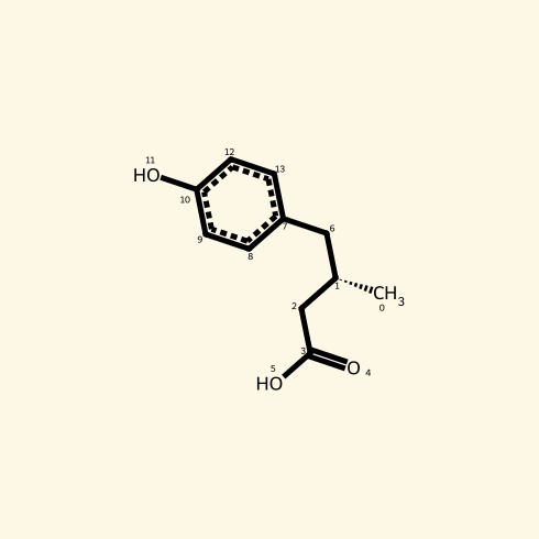 C[C@H](CC(=O)O)Cc1ccc(O)cc1